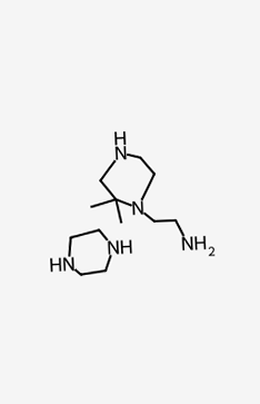 C1CNCCN1.CC1(C)CNCCN1CCN